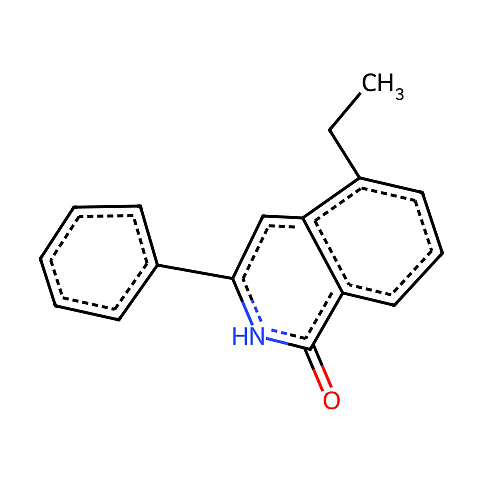 CCc1cccc2c(=O)[nH]c(-c3ccccc3)cc12